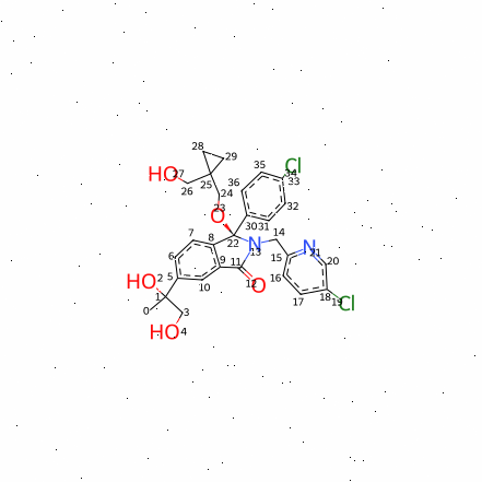 CC(O)(CO)c1ccc2c(c1)C(=O)N(Cc1ccc(Cl)cn1)[C@@]2(OCC1(CO)CC1)c1ccc(Cl)cc1